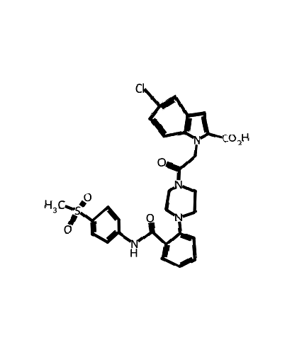 CS(=O)(=O)c1ccc(NC(=O)c2ccccc2N2CCN(C(=O)Cn3c(C(=O)O)cc4cc(Cl)ccc43)CC2)cc1